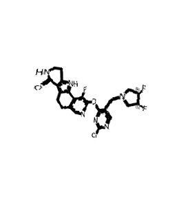 O=C1NCCc2[nH]c3c(c21)CCc1cnc(Oc2nc(Cl)ncc2CN2C[C@@H](F)[C@@H](F)C2)c(F)c1-3